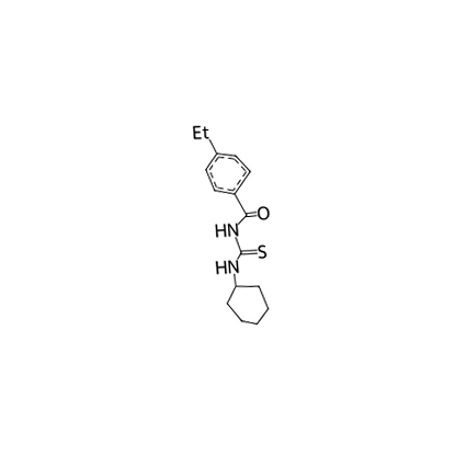 CCc1ccc(C(=O)NC(=S)NC2CCCCC2)cc1